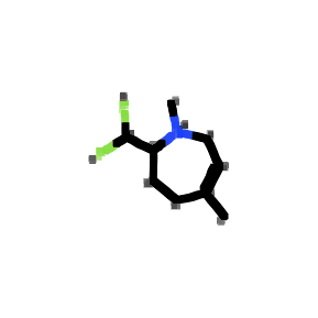 CC1=CCN(C)C(C(F)F)CC1